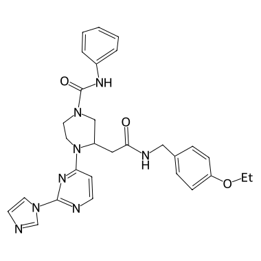 CCOc1ccc(CNC(=O)CC2CN(C(=O)Nc3ccccc3)CCN2c2ccnc(-n3ccnc3)n2)cc1